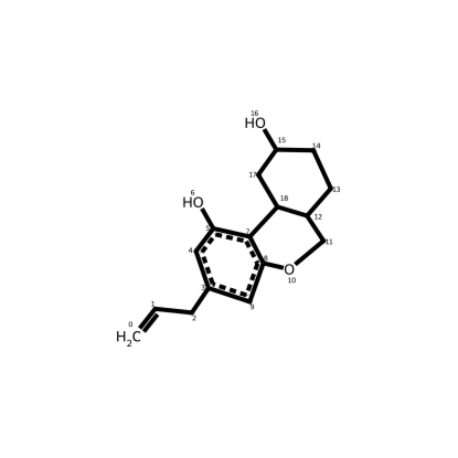 C=CCc1cc(O)c2c(c1)OCC1CCC(O)CC21